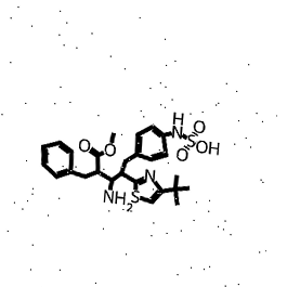 COC(=O)C(Cc1ccccc1)C(N)C(Cc1ccc(NS(=O)(=O)O)cc1)c1nc(C(C)(C)C)cs1